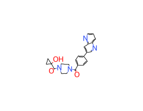 O=C(c1ccc(-c2cnc3cccnc3c2)cc1)N1CCN(C(=O)C2(O)CC2)CC1